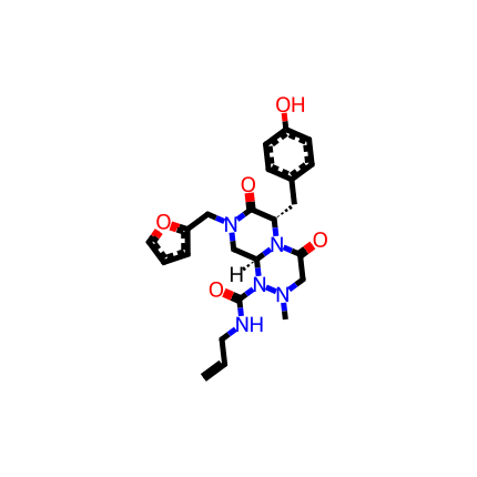 C=CCNC(=O)N1[C@H]2CN(Cc3ccco3)C(=O)[C@H](Cc3ccc(O)cc3)N2C(=O)CN1C